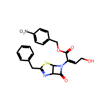 O=C(OCc1ccc([N+](=O)[O-])cc1)C(=CCO)N1C(=O)C2N=C(Cc3ccccc3)SC21